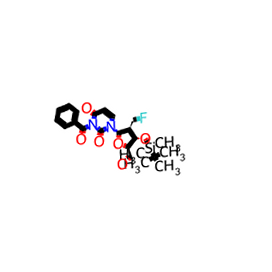 CC(C)(C)[Si](C)(C)O[C@H]1[C@@H](CF)[C@H](n2ccc(=O)n(C(=O)c3ccccc3)c2=O)O[C@@H]1C=O